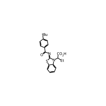 CCC(C(=O)O)n1c(=NC(=O)c2ccc(C(C)(C)C)cc2)sc2ccccc21